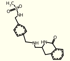 CS(=O)(=O)NCc1ccc(CNCC2Cc3ccccc3C(=O)N2)cc1